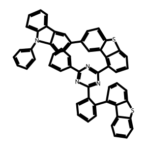 c1ccc(-c2nc(-c3ccccc3-c3cccc4sc5ccccc5c34)nc(-c3cccc4sc5ccc(-c6ccc7c(c6)c6ccccc6n7-c6ccccc6)cc5c34)n2)cc1